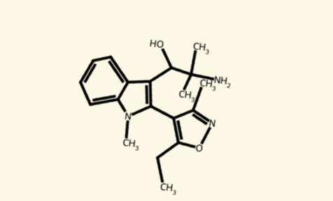 CCc1onc(C)c1-c1c(C(O)C(C)(C)N)c2ccccc2n1C